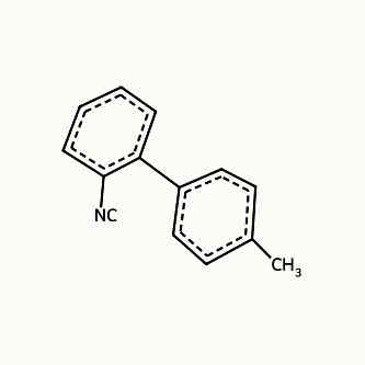 [C-]#[N+]c1ccccc1-c1ccc(C)cc1